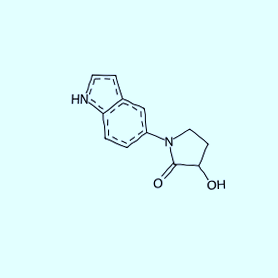 O=C1C(O)CCN1c1ccc2[nH]ccc2c1